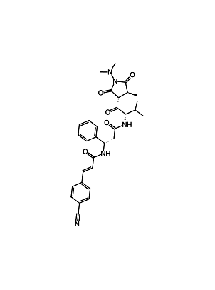 CC(C)[C@H](NC(=O)C[C@H](NC(=O)/C=C/c1ccc(C#N)cc1)c1ccccc1)C(=O)[C@@H]1C(=O)N(N(C)C)C(=O)[C@H]1C